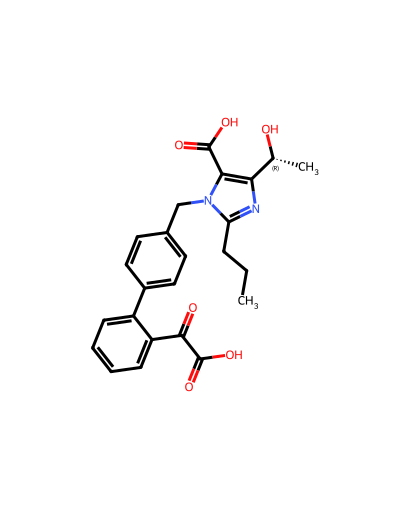 CCCc1nc([C@@H](C)O)c(C(=O)O)n1Cc1ccc(-c2ccccc2C(=O)C(=O)O)cc1